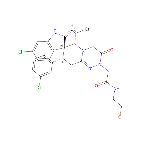 C=C(CC)[C@@H]1N2CC(=O)N(CC(=O)NCCO)N=C2C[C@H](c2cccc(Cl)c2)[C@@]12C(=O)Nc1cc(Cl)ccc12